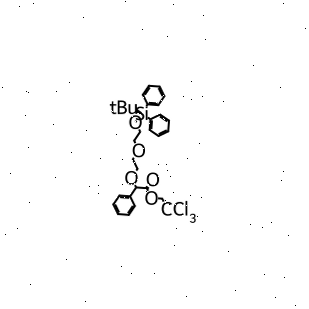 CC(C)(C)[Si](OCCOCCOC(C(=O)OCC(Cl)(Cl)Cl)c1ccccc1)(c1ccccc1)c1ccccc1